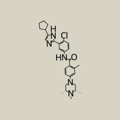 Cc1cc(N2C[C@@H](C)N(C)[C@@H](C)C2)ccc1C(=O)Nc1ccc(Cl)c(-c2ncc(C3CCCC3)[nH]2)c1